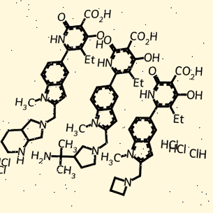 CCc1c(-c2ccc3c(c2)cc(CN2CC4CCCNC4C2)n3C)[nH]c(=O)c(C(=O)O)c1O.CCc1c(-c2ccc3c(c2)cc(CN2CCC(C(C)(C)N)C2)n3C)[nH]c(=O)c(C(=O)O)c1O.CCc1c(-c2ccc3c(c2)cc(CN2CCC2)n3C)[nH]c(=O)c(C(=O)O)c1O.Cl.Cl.Cl.Cl.Cl